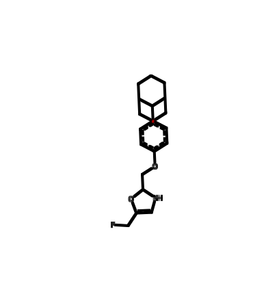 FCC1=CNC(COc2ccc(C3C4CCCC3CCC4)cc2)O1